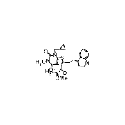 CON(C)C(=O)c1c(CCc2ccnc3ccccc23)sc2c1c(=O)n(C)c(=O)n2CC1CC1